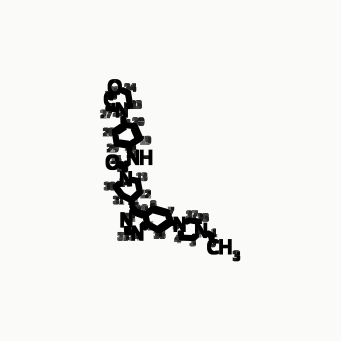 CCN1CCN(c2ccc3c(C4CCN(C(=O)Nc5ccc(N6CCOCC6)cc5)CC4)ncnc3c2)CC1